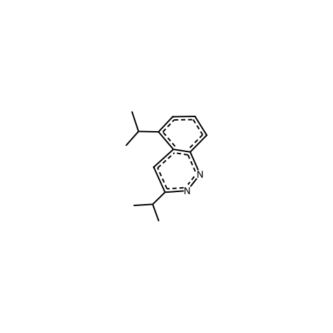 CC(C)c1cc2c(C(C)C)cccc2nn1